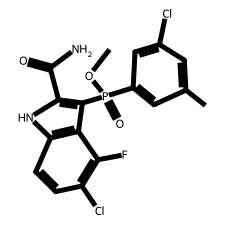 COP(=O)(c1cc(C)cc(Cl)c1)c1c(C(N)=O)[nH]c2ccc(Cl)c(F)c12